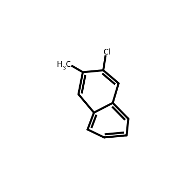 Cc1cc2ccccc2cc1Cl